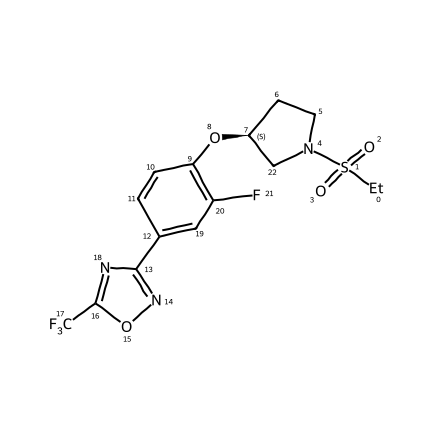 CCS(=O)(=O)N1CC[C@H](Oc2ccc(-c3noc(C(F)(F)F)n3)cc2F)C1